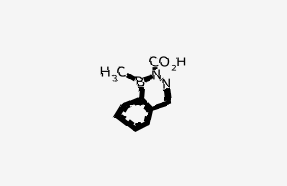 CB1c2ccccc2C=NN1C(=O)O